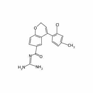 Cc1ccc(C2=CCOc3ccc(C(=O)N=C(N)N)cc32)c(Cl)c1